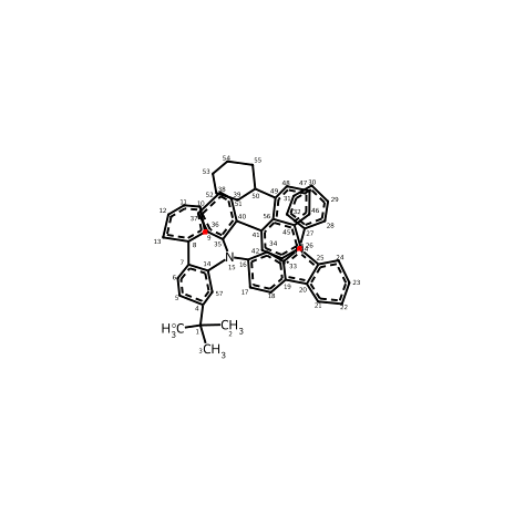 CC(C)(C)c1ccc(-c2ccccc2)c(N(c2ccc3c4ccccc4n(-c4ccccc4)c3c2)c2ccccc2-c2cccc3cccc(C4CCCCC4)c23)c1